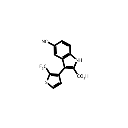 N#Cc1ccc2[nH]c(C(=O)O)c(-c3ccsc3C(F)(F)F)c2c1